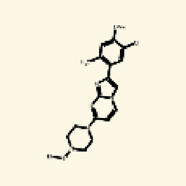 CCSN1CCN(c2ccn3cc(-c4cc(Cl)c(OC)cc4C)nc3n2)CC1